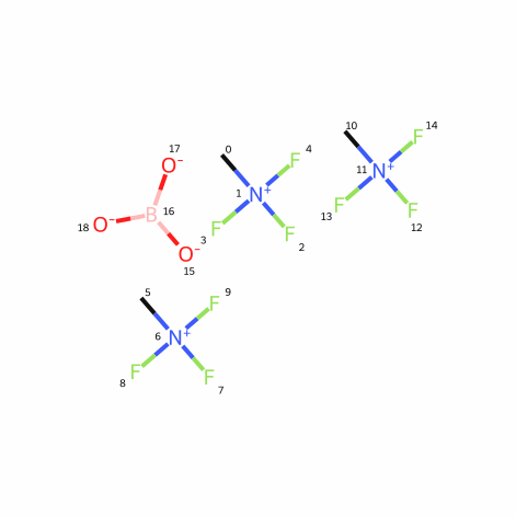 C[N+](F)(F)F.C[N+](F)(F)F.C[N+](F)(F)F.[O-]B([O-])[O-]